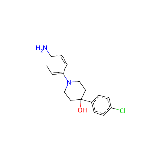 C/C=C(\C=C/CN)N1CCC(O)(c2ccc(Cl)cc2)CC1